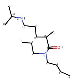 CCCCN(CCC)C(=O)C(C)CCCNC(C)C